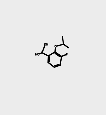 CC(C)Oc1c(F)cccc1B(O)O